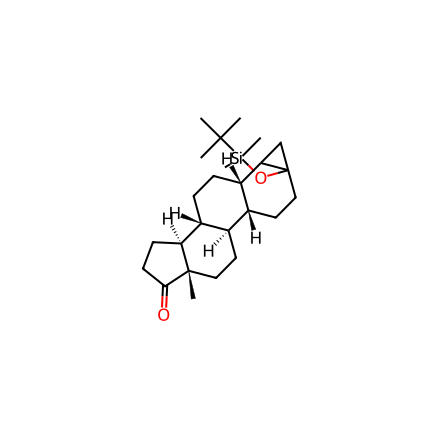 CC(C)(C)[Si](C)(C)OC12CC[C@@H]3[C@H]4CC[C@]5(C)C(=O)CC[C@H]5[C@@H]4CC[C@@H]3C1C2